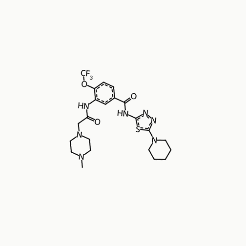 CN1CCN(CC(=O)Nc2cc(C(=O)Nc3nnc(N4CCCCC4)s3)ccc2OC(F)(F)F)CC1